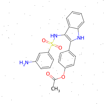 CC(=O)Oc1ccc(-c2[nH]c3ccccc3c2NS(=O)(=O)c2cccc(N)c2)cc1